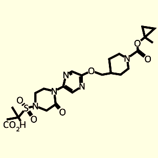 CC1(OC(=O)N2CCC(COc3cnc(N4CCN(S(=O)(=O)C(C)(C)C(=O)O)CC4=O)cn3)CC2)CC1